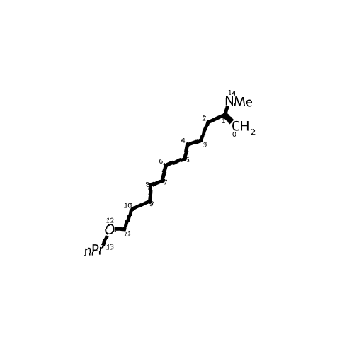 C=C(CCCCCCCCCCOCCC)NC